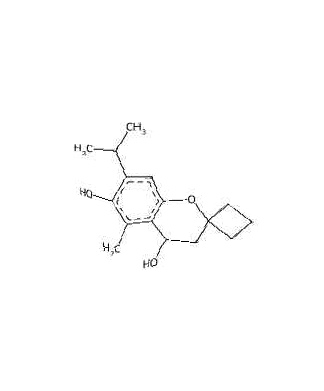 Cc1c(O)c(C(C)C)cc2c1C(O)CC1(CCC1)O2